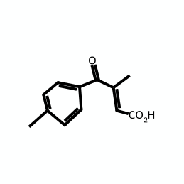 CC(=CC(=O)O)C(=O)c1ccc(C)cc1